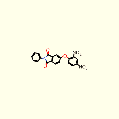 O=C1c2ccc(Oc3ccc([N+](=O)[O-])cc3[N+](=O)[O-])cc2C(=O)N1c1ccccc1